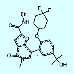 CCNC(=O)c1cc2c(=O)n(C)cc(-c3cc(C(C)(C)O)ccc3OC3CCC(F)(F)CC3)c2o1